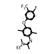 CCN(C)C(C)=Nc1cc(C)c(Oc2ccc(F)c(C(F)(F)F)c2)cc1C